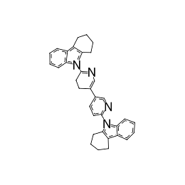 C1=C(c2ccc(-n3c4c(c5ccccc53)CCCC4)nc2)CCC(n2c3c(c4ccccc42)CCCC3)=N1